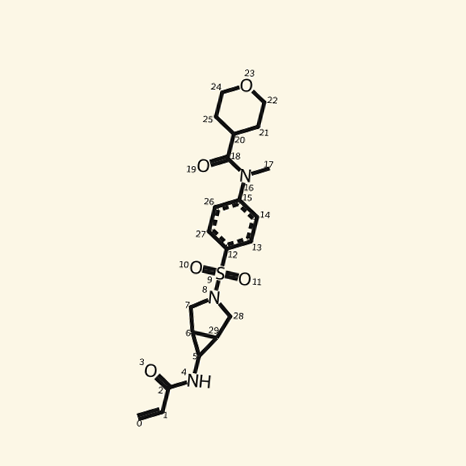 C=CC(=O)NC1C2CN(S(=O)(=O)c3ccc(N(C)C(=O)C4CCOCC4)cc3)CC21